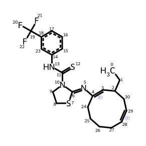 CCC1/C=C(/N=C2SCCN2C(=S)Nc2cccc(C(F)(F)F)c2)CCCC/C=C\C1